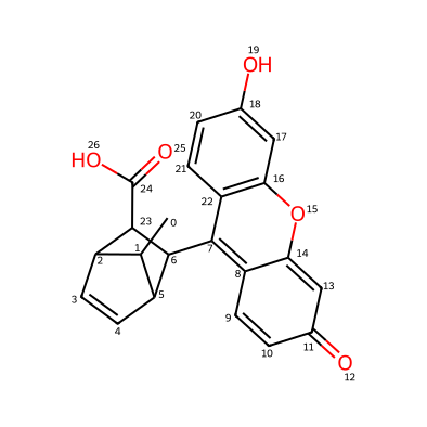 CC1C2C=CC1C(c1c3ccc(=O)cc-3oc3cc(O)ccc13)C2C(=O)O